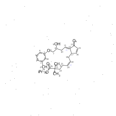 Cc1cccc(OCC(O)C/C=C2/C(=O)C=CC2C/C=C\CCC(C)(C)C(=O)OC(C)C)c1